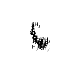 CCCCCC1CCC(C2CCC(C(F)(F)Oc3cc(C(C)(C)C)c(O)c(C(C)(C)C)c3)CC2)CO1